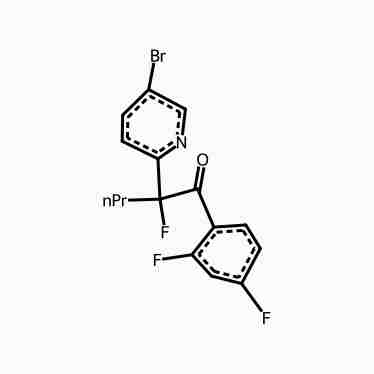 CCCC(F)(C(=O)c1ccc(F)cc1F)c1ccc(Br)cn1